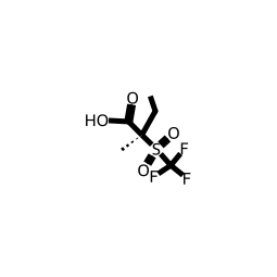 CC[C@](C)(C(=O)O)S(=O)(=O)C(F)(F)F